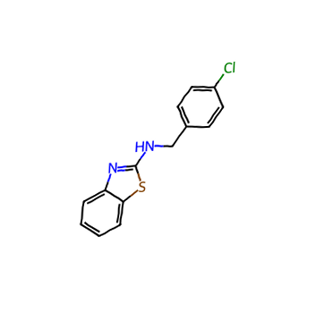 Clc1ccc(CNc2nc3ccccc3s2)cc1